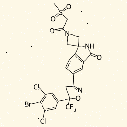 CS(=O)(=O)CC(=O)N1CC2(C1)NC(=O)c1cc(C3=NOC(c4cc(Cl)c(Br)c(Cl)c4)(C(F)(F)F)C3)ccc12